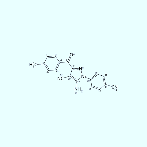 Cc1ccc(C(=O)c2nn(-c3ccc(C#N)cc3)c(N)c2C#N)cc1